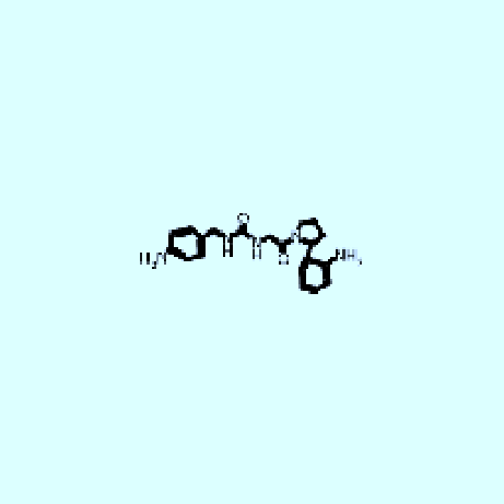 Nc1ccc(CNC(=O)NCC(=O)N2CCCC2c2ccccc2N)cc1